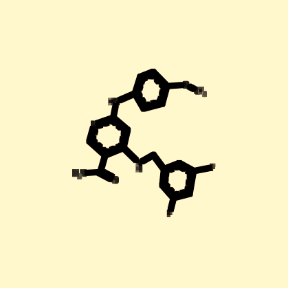 NC(=O)c1cnc(Nc2ccc(OC(F)(F)F)cc2)cc1NCc1cc(F)cc(F)c1